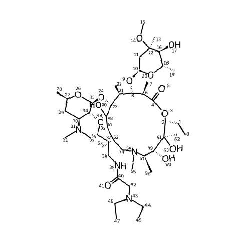 CC[C@H]1OC(=O)[C@H](C)[C@@H](O[C@H]2C[C@@](C)(OC)[C@@H](O)[C@H](C)O2)[C@H](C)[C@@H](O[C@@H]2O[C@H](C)C[C@H](N(C)C)[C@H]2OCCCNC(=O)CN(CC)CC)[C@](C)(O)C[C@@H](C)CN(C)[C@H](C)[C@@H](O)[C@]1(C)O